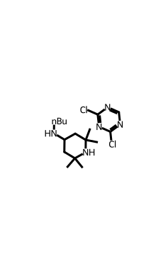 CCCCNC1CC(C)(C)NC(C)(C)C1.Clc1ncnc(Cl)n1